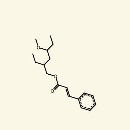 CCC(COC(=O)C=Cc1ccccc1)CC(CC)OC